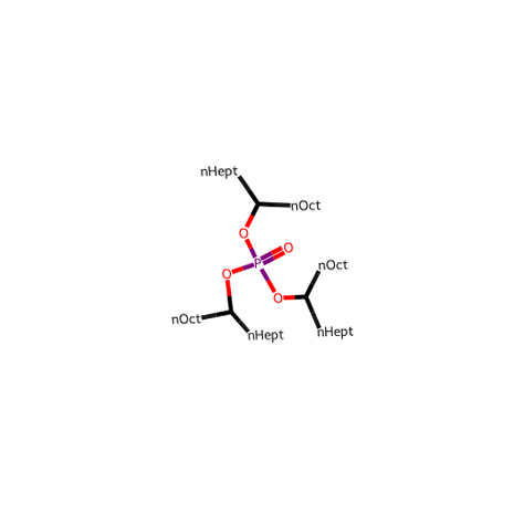 CCCCCCCCC(CCCCCCC)OP(=O)(OC(CCCCCCC)CCCCCCCC)OC(CCCCCCC)CCCCCCCC